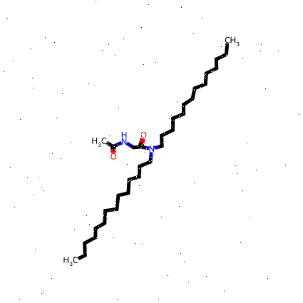 CCCCCCCCCCCCCCN(CCCCCCCCCCCCCC)C(=O)CNC(C)=O